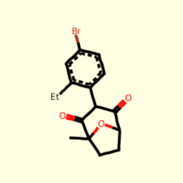 CCc1cc(Br)ccc1C1C(=O)C2CCC(C)(O2)C1=O